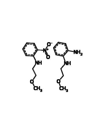 COCCNc1ccccc1N.COCCNc1ccccc1[N+](=O)[O-]